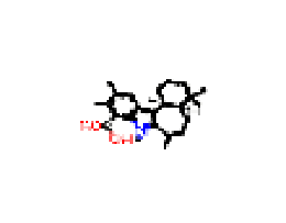 Cc1cc2c3c(n(C)c2c(B(O)O)c1C)C(C)CC[C@@H]1C(C)(C)CCC[C@@]31C